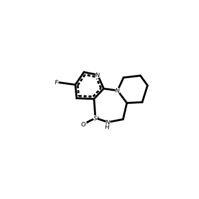 [O-][S+]1NCC2CCCCN2c2ncc(F)cc21